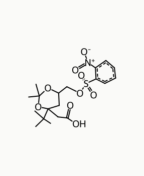 CC1(C)OC(COS(=O)(=O)c2ccccc2[N+](=O)[O-])CC(CC(=O)O)(C(C)(C)C)O1